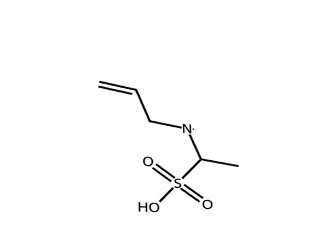 C=CC[N]C(C)S(=O)(=O)O